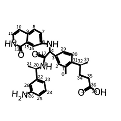 Cc1cc(C(Nc2ccc3cc[nH]c(=O)c3c2)C(=O)N[C@H](C)c2cccc(N)c2)ccc1[C@@H](C)CCC(=O)O